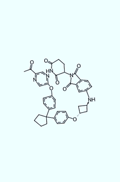 CC(=O)c1cnc(Oc2ccc(C3(c4ccc(O[C@H]5C[C@H](Nc6ccc7c(c6)C(=O)N(C6CCC(=O)NC6=O)C7=O)C5)cc4)CCCC3)cc2)cn1